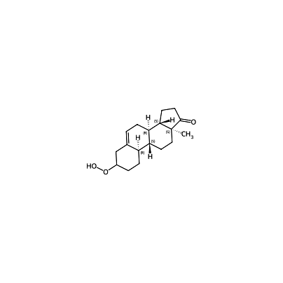 C[C@]12CC[C@H]3[C@@H](CC=C4CC(OO)CC[C@@H]43)[C@@H]1CCC2=O